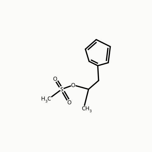 CC(Cc1ccccc1)OS(C)(=O)=O